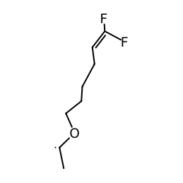 C[CH]OCCCCC=C(F)F